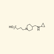 O=C(O)CCCN1CCC(CNC2CC2)CC1